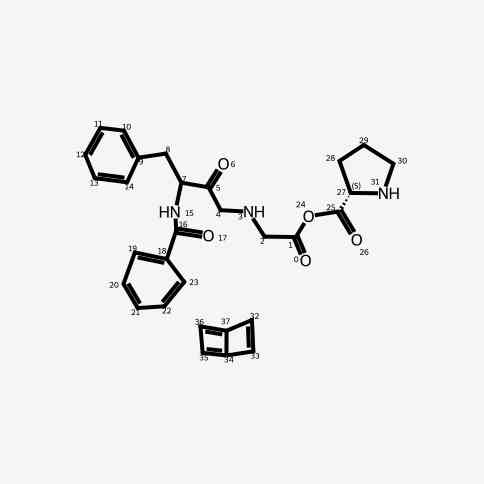 O=C(CNCC(=O)C(Cc1ccccc1)NC(=O)c1ccccc1)OC(=O)[C@@H]1CCCN1.c1cc2ccc1-2